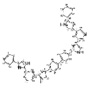 c1ccc(-c2c[nH]c(-c3cccc(-c4nc(-c5ccc(-c6ccc(-c7nc(-c8cncc(-c9c[nH]c(-c%10ccccc%10)n9)c8)c[nH]7)cc6)cc5)c[nH]4)n3)n2)cc1